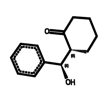 O=C1CCCC[C@@H]1[C@@H](O)c1ccccc1